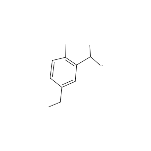 [CH2]C(C)c1cc(CC)ccc1C